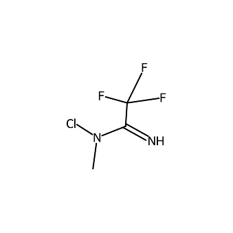 CN(Cl)C(=N)C(F)(F)F